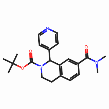 CN(C)C(=O)c1ccc2c(c1)C(c1ccncc1)N(C(=O)OC(C)(C)C)CC2